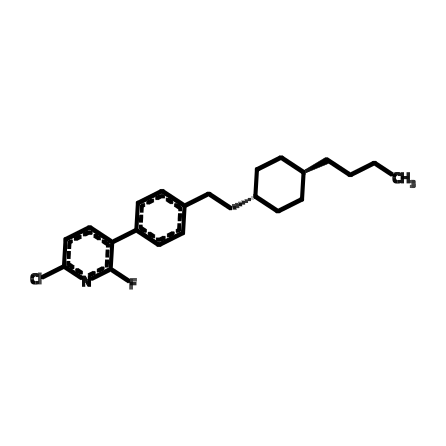 CCCC[C@H]1CC[C@H](CCc2ccc(-c3ccc(Cl)nc3F)cc2)CC1